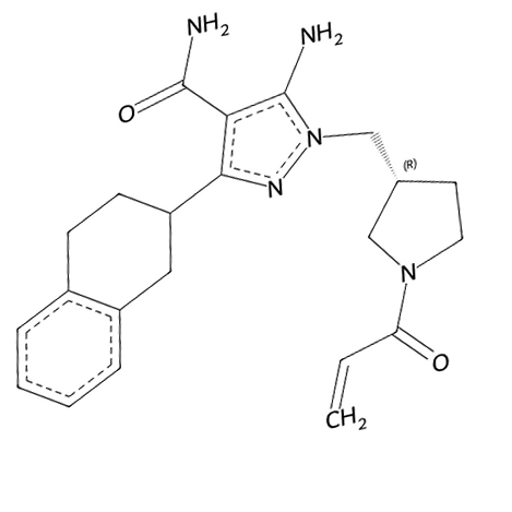 C=CC(=O)N1CC[C@@H](Cn2nc(C3CCc4ccccc4C3)c(C(N)=O)c2N)C1